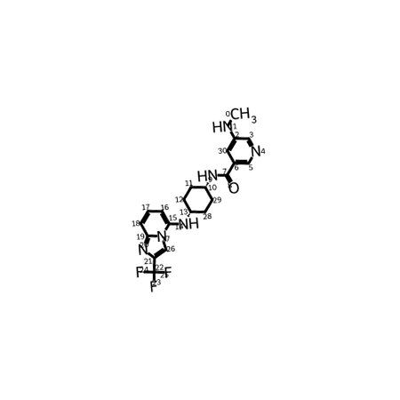 CNc1cncc(C(=O)N[C@H]2CC[C@@H](Nc3cccc4nc(C(F)(F)F)cn34)CC2)c1